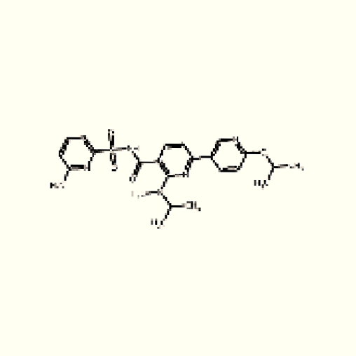 CC(C)Oc1ccc(-c2ccc(C(=O)NS(=O)(=O)c3cccc(N)n3)c(N(C)C(C)C)n2)cn1